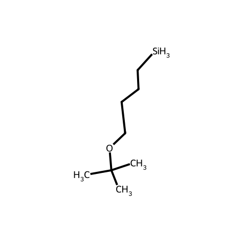 CC(C)(C)OCCCC[SiH3]